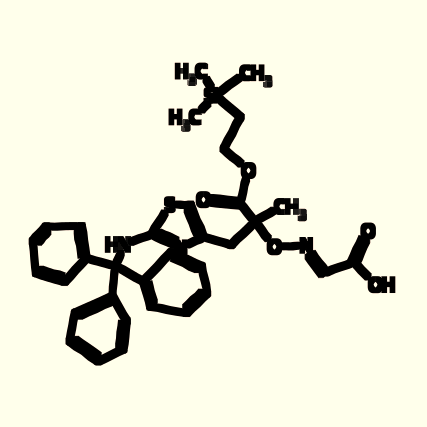 CC(Cc1csc(NC(c2ccccc2)(c2ccccc2)c2ccccc2)n1)(ON=CC(=O)O)C(=O)OCC[Si](C)(C)C